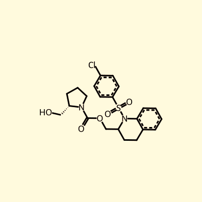 O=C(OCC1CCc2ccccc2N1S(=O)(=O)c1ccc(Cl)cc1)N1CCC[C@H]1CO